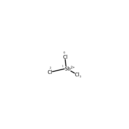 [Cl][Sb+2]([Cl])[Cl]